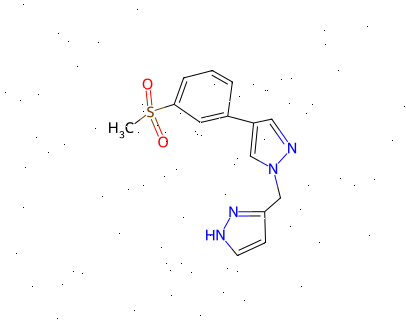 CS(=O)(=O)c1cccc(-c2cnn(Cc3cc[nH]n3)c2)c1